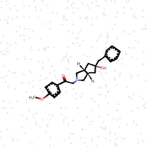 COc1ccc(C(=O)CN2C[C@@H]3C[C@](O)(Cc4ccccc4)C[C@@H]3C2)cc1